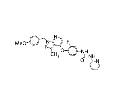 COc1ccc(Cn2nc(C)c3c(Oc4ccc(NC(=O)Nc5ccccn5)cc4F)ccnc32)cc1